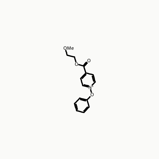 COCCOC(=O)c1cc[n+](Oc2ccccc2)cc1